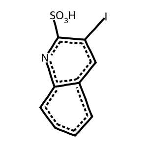 O=S(=O)(O)c1nc2ccccc2cc1I